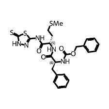 CSCC[C@H](NC(=O)[C@H](Cc1ccccc1)NC(=O)OCc1ccccc1)C(=O)Nc1n[nH]c(=S)s1